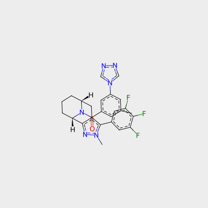 Cc1cc(C(=O)N2[C@@H]3CCC[C@H]2c2nn(C)c(-c4cc(F)c(F)c(F)c4)c2C3)cc(-n2cnnc2)c1